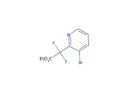 CCOC(=O)C(F)(F)c1ncccc1Br